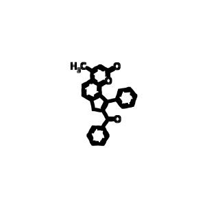 Cc1cc(=O)oc2c3c(ccc12)CC(C(=O)c1ccccc1)=C3c1ccccc1